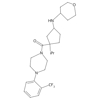 CC(C)C1(C(=O)N2CCN(c3ccccc3C(F)(F)F)CC2)CCC(NC2CCOCC2)C1